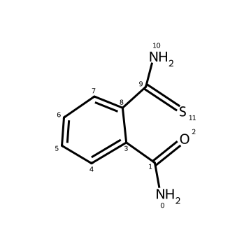 NC(=O)c1ccccc1C(N)=S